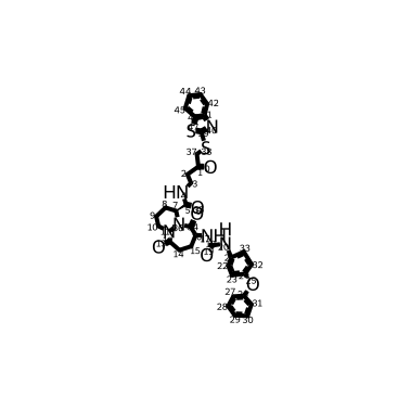 O=C(CCNC(=O)[C@@H]1CCCN2C(=O)CCC(NC(=O)Nc3ccc(Oc4ccccc4)cc3)C(=O)N12)CSc1nc2ccccc2s1